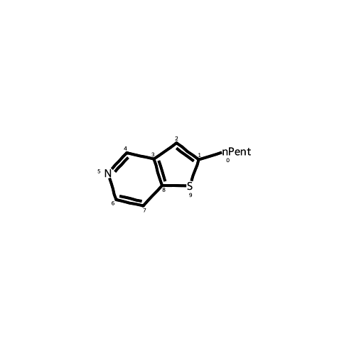 CCCCCc1cc2cnccc2s1